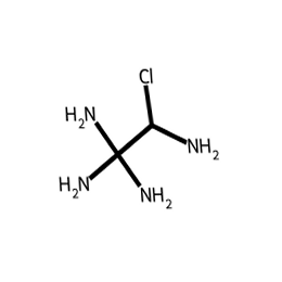 NC(Cl)C(N)(N)N